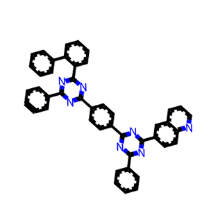 c1ccc(-c2nc(-c3ccc(-c4nc(-c5ccccc5)nc(-c5ccc6ncccc6c5)n4)cc3)nc(-c3ccccc3-c3ccccc3)n2)cc#1